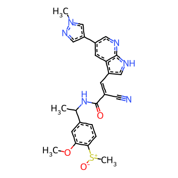 COc1cc(C(C)NC(=O)/C(C#N)=C/c2c[nH]c3ncc(-c4cnn(C)c4)cc23)ccc1[S+](C)[O-]